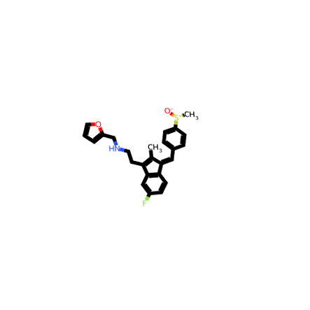 CC1=C(CCNCc2ccco2)c2cc(F)ccc2C1=Cc1ccc([S+](C)[O-])cc1